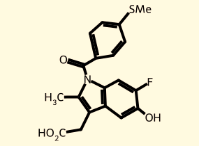 CSc1ccc(C(=O)n2c(C)c(CC(=O)O)c3cc(O)c(F)cc32)cc1